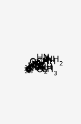 CCC(NC(CCCNC(=N)N)C(=O)NC)C(=O)C(N)Cc1ccccc1